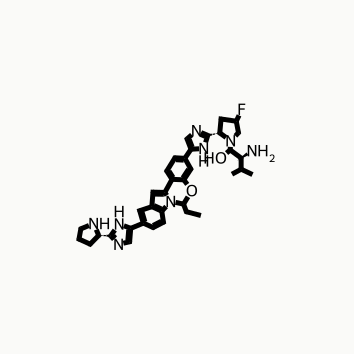 CCC1Oc2cc(-c3cnc([C@@H]4CC(F)CN4C(O)[C@@H](N)C(C)C)[nH]3)ccc2-c2cc3cc(-c4cnc([C@@H]5CCCN5)[nH]4)ccc3n21